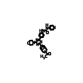 CC(=O)N1CC2CN(c3nc(-c4ccc(NC(=O)Nc5ccncc5)cc4)nc(N4CCOCC4)n3)CC(C1)O2